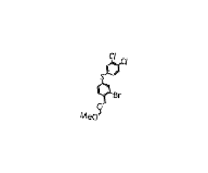 COCOCc1ccc(Sc2ccc(Cl)c(Cl)c2)cc1Br